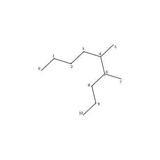 CCCCC(C)[C](C)CCC